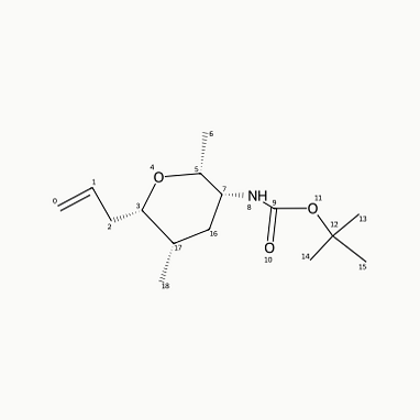 C=CC[C@@H]1O[C@H](C)[C@H](NC(=O)OC(C)(C)C)C[C@@H]1C